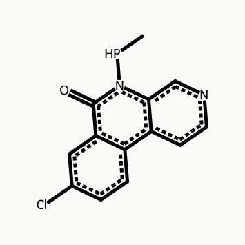 CPn1c(=O)c2cc(Cl)ccc2c2ccncc21